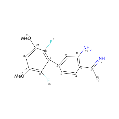 CCC(=N)c1ccc(-c2c(F)c(OC)cc(OC)c2F)cc1N